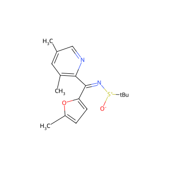 Cc1cnc(C(=N[S+]([O-])C(C)(C)C)c2ccc(C)o2)c(C)c1